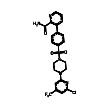 NC(=O)c1ncccc1-c1ccc(S(=O)(=O)N2CCN(c3cc(C(F)(F)F)cc(Cl)n3)CC2)cc1